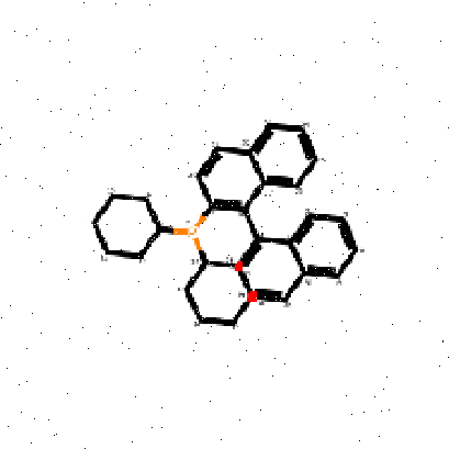 c1ccc2c(-c3c(P(C4CCCCC4)C4CCCCC4)ccc4ccccc34)cccc2c1